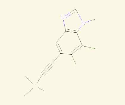 CCn1cnc2cc(C#C[Si](C)(C)C)c(Cl)c(F)c21